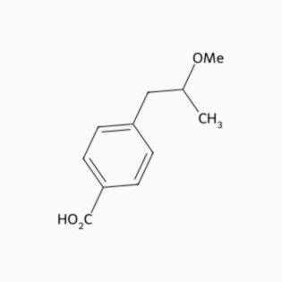 COC(C)Cc1ccc(C(=O)O)cc1